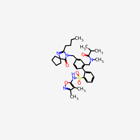 CCCCC1=NC2(CCCC2)C(=O)N1Cc1ccc(-c2ccccc2S(=O)(=O)Nc2onc(C)c2C)c(CN(C)C(=O)C(C)C)c1